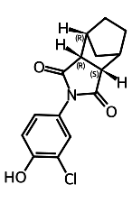 O=C1[C@@H]2[C@@H]3CCC(C3)[C@@H]2C(=O)N1c1ccc(O)c(Cl)c1